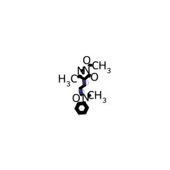 CC(=O)N1N=C(C)/C(=C\C=C2\Oc3ccccc3N2C)C1=O